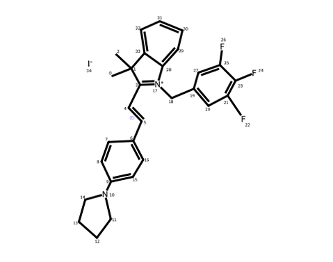 CC1(C)C(/C=C/c2ccc(N3CCCC3)cc2)=[N+](Cc2cc(F)c(F)c(F)c2)c2ccccc21.[I-]